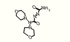 NC(=O)N=NC(=O)N(N1CCOCC1)N1CCOCC1